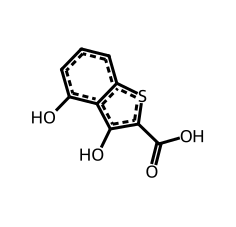 O=C(O)c1sc2cccc(O)c2c1O